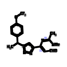 CN/C(C)=N\C(=C/C=O)c1cn(C(C)c2ccc(OC(F)(F)F)cc2)nn1